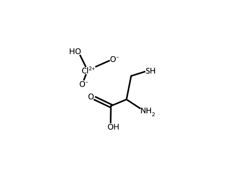 NC(CS)C(=O)O.[O-][Cl+2]([O-])O